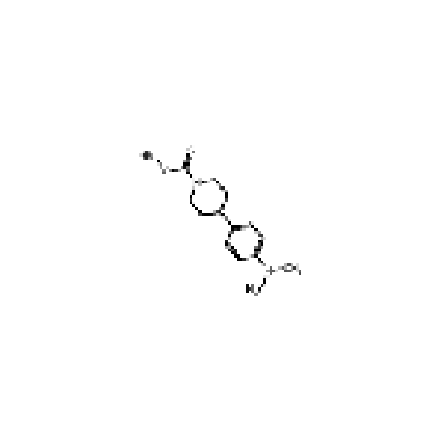 CN(C)c1ccc(C2CCN(C(=O)OC(C)(C)C)CC2)cc1